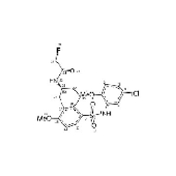 COc1ccc(Cl)cc1NS(=O)(=O)c1ccc(OC)c2c1CC[C@H](NC(=O)CF)C2